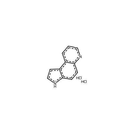 Cl.Cl.c1cnc2ccc3[nH]ccc3c2c1